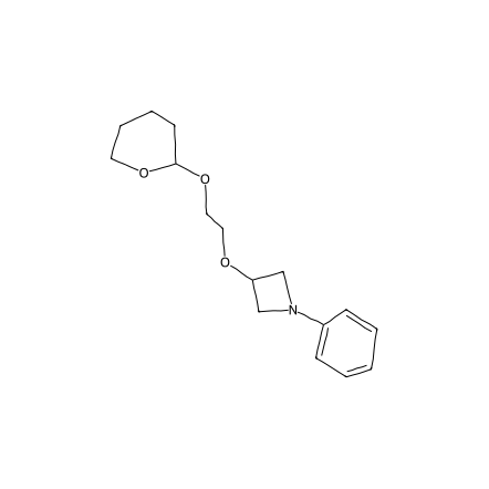 c1ccc(N2CC(OCCOC3CCCCO3)C2)cc1